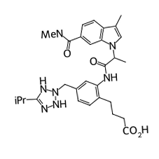 CNC(=O)c1ccc2c(C)cn(C(C)C(=O)Nc3cc(CN4NN=C(C(C)C)N4)ccc3CCCC(=O)O)c2c1